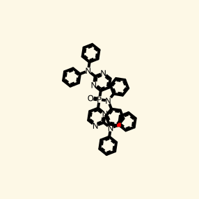 O=P(c1ccnc(N(c2ccccc2)c2ccccc2)n1)(c1ccnc(N(c2ccccc2)c2ccccc2)n1)N(c1ccccc1)c1ccccc1